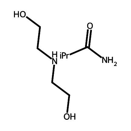 CC(C)C(N)=O.OCCNCCO